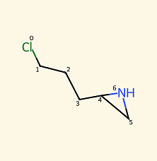 ClCCCC1CN1